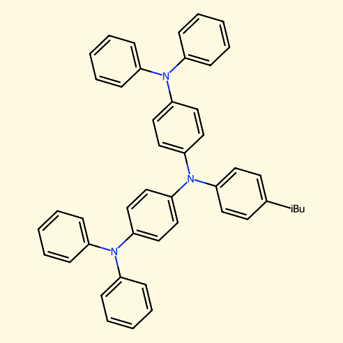 CCC(C)c1ccc(N(c2ccc(N(c3ccccc3)c3ccccc3)cc2)c2ccc(N(c3ccccc3)c3ccccc3)cc2)cc1